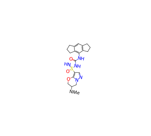 CNC1COc2c(S(=N)(=O)NC(=O)Nc3c4c(cc5c3CCC5)CCC4)cnn2C1